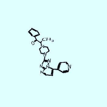 CC(C(=O)c1ccccc1)N1CCN(c2nc3nccc(-c4ccncc4)n3n2)CC1